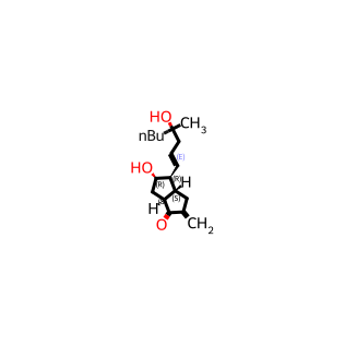 C=C1C[C@H]2[C@H](/C=C/CC(C)(O)CCCC)[C@H](O)C[C@@H]2C1=O